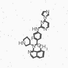 Cc1cccc2ccnc(N(C(=O)c3ccc(Nc4nccc(-n5ccnc5)n4)cc3F)[C@@H]3CCCNC3)c12